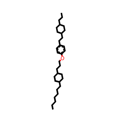 CCCCCCCC1CCC(CCCOc2ccc(CCC3CCC(CCC)CC3)cc2)CC1